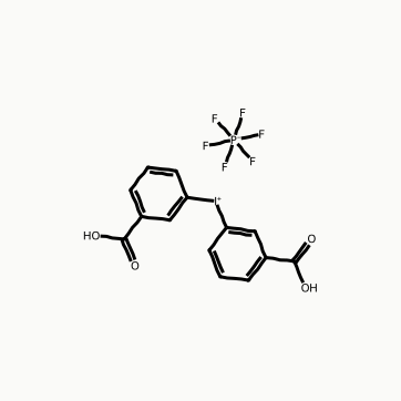 F[P-](F)(F)(F)(F)F.O=C(O)c1cccc([I+]c2cccc(C(=O)O)c2)c1